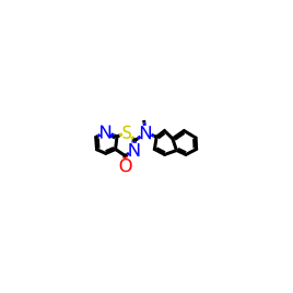 CN(c1ccc2ccccc2c1)c1nc(=O)c2cccnc2s1